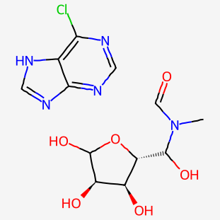 CN(C=O)C(O)[C@H]1OC(O)[C@H](O)[C@@H]1O.Clc1ncnc2nc[nH]c12